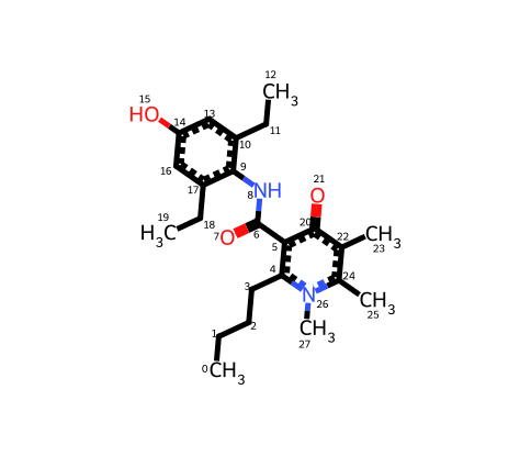 CCCCc1c(C(=O)Nc2c(CC)cc(O)cc2CC)c(=O)c(C)c(C)n1C